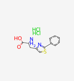 Cl.Cl.NC(Cc1csc(-c2ccccc2)n1)C(=O)O